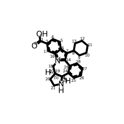 O=C(O)c1ccc2c(C3CCCCC3)c3n(c2c1)C[C@@H]1CCN[C@@H]1c1ccccc1-3